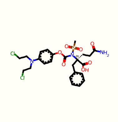 CS(=O)(=O)N(C(=O)Oc1ccc(N(CCCl)CCCl)cc1)[C@](CCC(N)=O)(Cc1ccccc1)C(=O)O